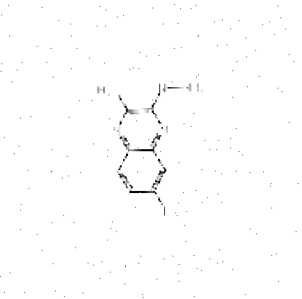 Cc1nc2ccc(F)cc2nc1NN